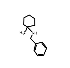 CC1(NCc2ccccc2)CCCCC1